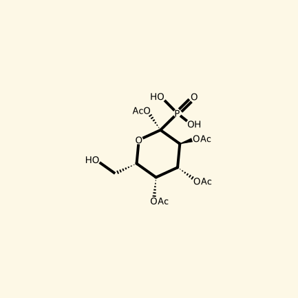 CC(=O)O[C@@H]1[C@H](OC(C)=O)[C@H](CO)O[C@@](OC(C)=O)(P(=O)(O)O)[C@H]1OC(C)=O